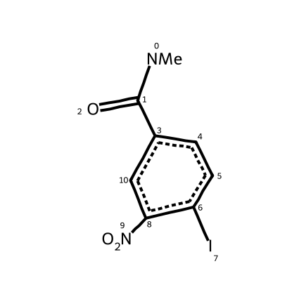 CNC(=O)c1ccc(I)c([N+](=O)[O-])c1